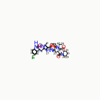 Cc1[nH]c(/C=C2\C(=O)Nc3ccc(F)cc32)c(C)c1C(=O)N[C@H](CCC(=O)N1CCCCC1)C(=O)N1CCOCC1